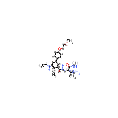 CCNc1cc(-c2ccc(OCCOC)cc2)cc(C(=O)NC/C(C(=O)NC)=C(\C)N)c1C